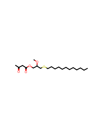 CCCCCCCCCCCCSCC(COC(=O)CC(C)=O)OC